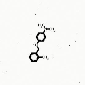 Cc1ccccc1COc1ccc(N(C)C)cc1